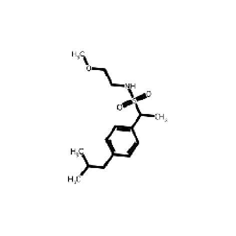 COCCNS(=O)(=O)C(C)c1ccc(CC(C)C)cc1